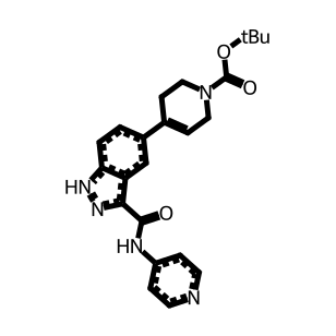 CC(C)(C)OC(=O)N1CC=C(c2ccc3[nH]nc(C(=O)Nc4ccncc4)c3c2)CC1